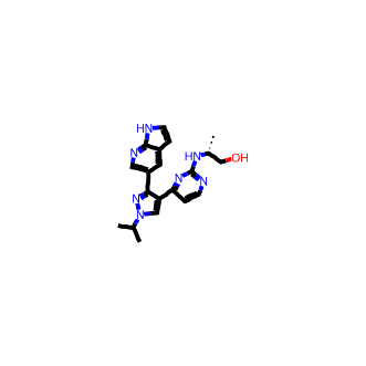 CC(C)n1cc(-c2ccnc(N[C@H](C)CO)n2)c(-c2cnc3[nH]ccc3c2)n1